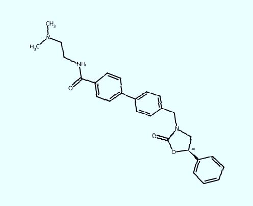 CN(C)CCNC(=O)c1ccc(-c2ccc(CN3C[C@@H](c4ccccc4)OC3=O)cc2)cc1